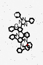 N#Cc1cc(-c2nc(-c3ccccc3)nc(-c3ccccc3)n2)c2oc3ccccc3c2c1-n1c2ccccc2c2cc(-n3c4ccccc4c4ccccc43)c3c(c4ccccc4n3-c3ccccc3)c21